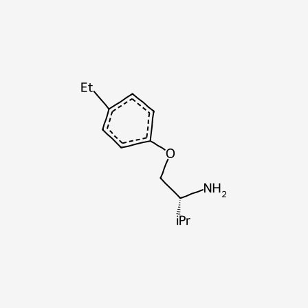 CCc1ccc(OC[C@H](N)C(C)C)cc1